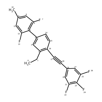 CCc1cc(-c2c(F)cc(C)cc2F)ccc1C#Cc1cc(F)c(F)c(F)c1